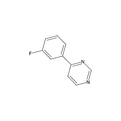 Fc1cccc(-c2ccncn2)c1